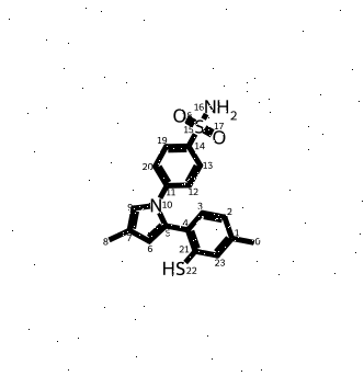 Cc1ccc(-c2cc(C)cn2-c2ccc(S(N)(=O)=O)cc2)c(S)c1